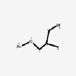 CC(=O)OCC(C)CBr